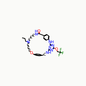 CCCN1CCCNC(=O)c2ccc(cc2)Nc2nc(nc(OCC(F)(F)F)n2)NCc2ccc(cc2)OCCC1